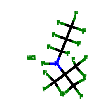 Cl.FN(C(F)(F)C(F)(F)C(F)(F)F)C(C(F)(F)F)(C(F)(F)F)C(F)(F)F